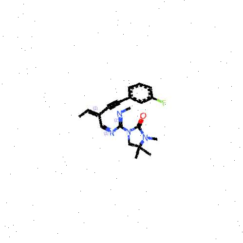 C\C=C(C#Cc1cccc(F)c1)/C=N\C(=N\C)N1CC(C)(C)N(C)C1=O